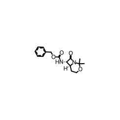 CC1(C)OCC[C@H]2[C@H](NC(=O)OCc3ccccc3)C(=O)N21